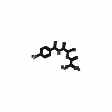 C=C(C)C(=O)OC(C(=O)NC(=O)c1ccc(C(F)(F)F)cc1)C(C)C